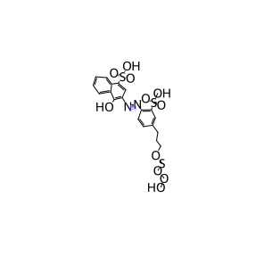 O=S(=O)(O)c1cc(CCCOSOOO)ccc1/N=N/c1cc(S(=O)(=O)O)c2ccccc2c1O